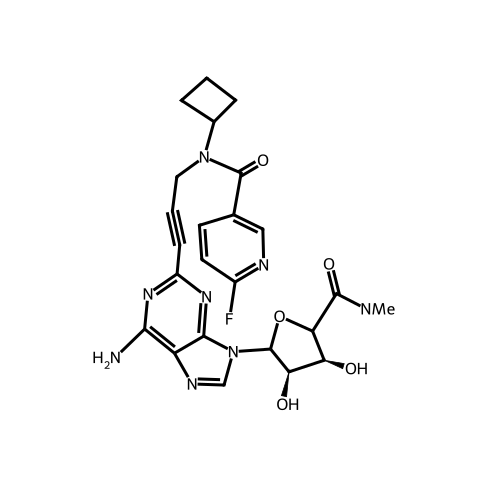 CNC(=O)C1OC(n2cnc3c(N)nc(C#CCN(C(=O)c4ccc(F)nc4)C4CCC4)nc32)[C@H](O)[C@@H]1O